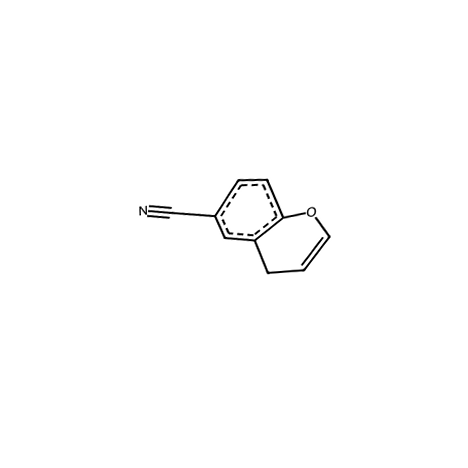 N#Cc1ccc2c(c1)CC=CO2